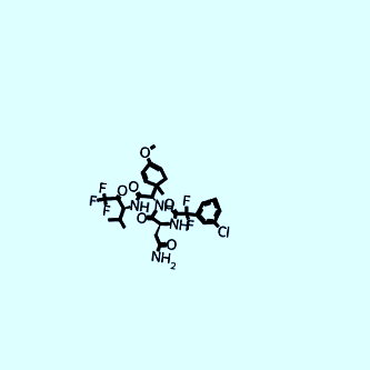 COC1=CCC(C)([C@H](NC(=O)[C@H](CC(N)=O)NC(=O)C(F)(F)c2cccc(Cl)c2)C(=O)N[C@H](C(=O)C(F)(F)F)C(C)C)C=C1